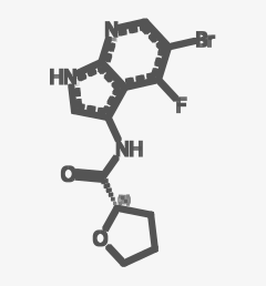 O=C(Nc1c[nH]c2ncc(Br)c(F)c12)[C@@H]1CCCO1